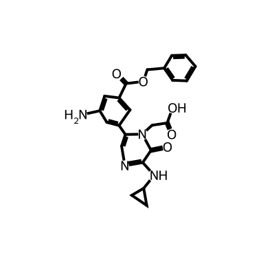 Nc1cc(C(=O)OCc2ccccc2)cc(-c2cnc(NC3CC3)c(=O)n2CC(=O)O)c1